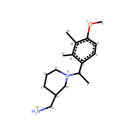 COc1ccc(C(C)N2CCCC(CN)C2)c(C)c1C